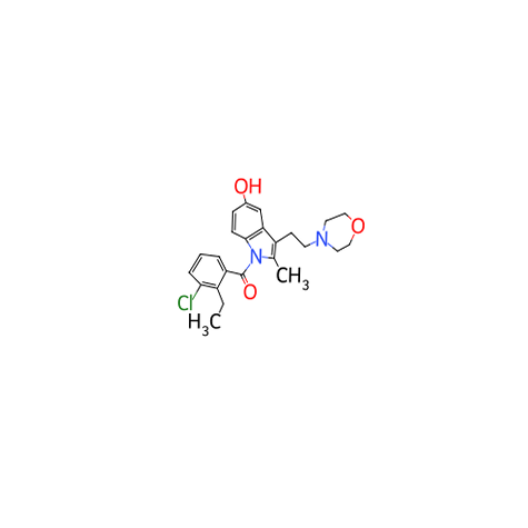 CCc1c(Cl)cccc1C(=O)n1c(C)c(CCN2CCOCC2)c2cc(O)ccc21